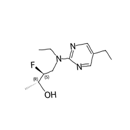 CCc1cnc(N(CC)C[C@H](F)[C@@H](C)O)nc1